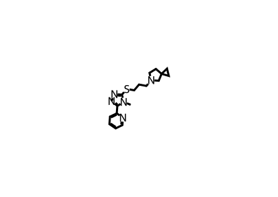 Cn1c(SCCCN2CCC3(CC3)C2)nnc1-c1ccccn1